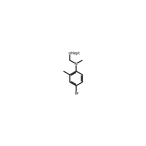 CCCCCCCCN(C)c1ccc(Br)cc1C